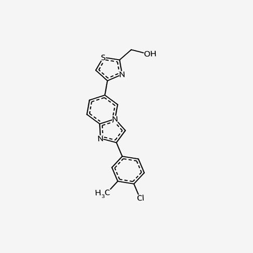 Cc1cc(-c2cn3cc(-c4csc(CO)n4)ccc3n2)ccc1Cl